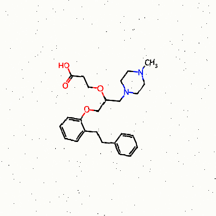 CN1CCN(CC(COc2ccccc2CCc2ccccc2)OCCC(=O)O)CC1